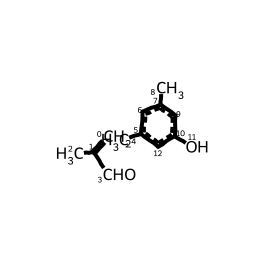 C=C(C)C=O.Cc1cc(C)cc(O)c1